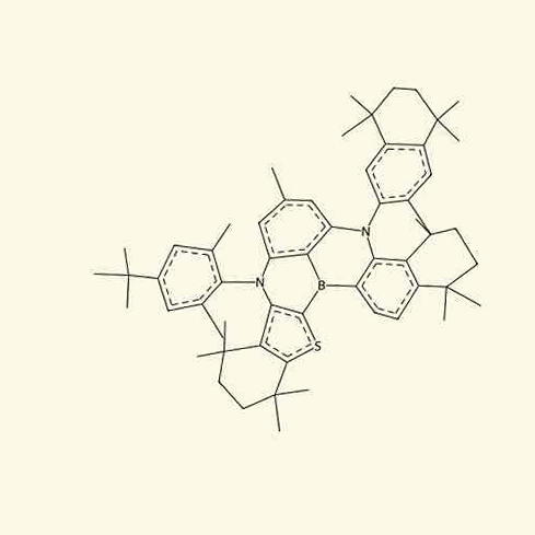 Cc1cc2c3c(c1)N(c1c(C)cc(C(C)(C)C)cc1C)c1c(sc4c1C(C)(C)CCC4(C)C)B3c1ccc3c4c1N2c1cc2c(cc1C4(C)CCC3(C)C)C(C)(C)CCC2(C)C